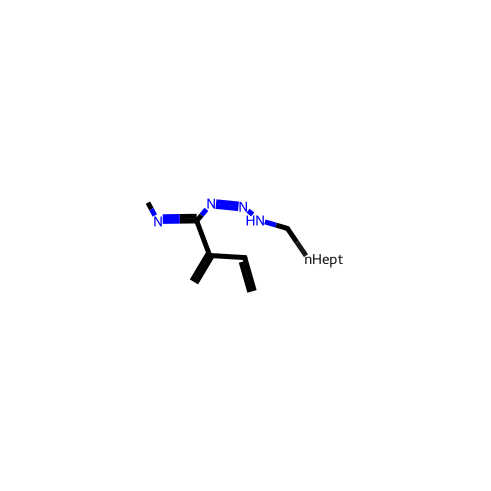 C=CC(=C)C(/N=N\NCCCCCCCC)=N/C